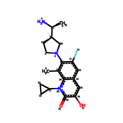 Cc1c(N2CC[C@@H]([C@H](C)N)C2)c(F)cc2cc(O)c(=O)n(C3CC3)c12